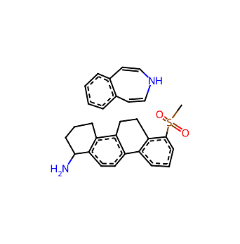 C1=Cc2ccccc2C=CN1.CS(=O)(=O)c1cccc2c1CCc1c-2ccc2c1CCCC2N